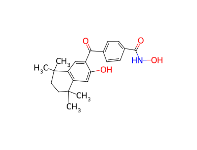 CC1(C)CCC(C)(C)c2cc(C(=O)c3ccc(C(=O)NO)cc3)c(O)cc21